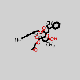 C#CC#CC#CCOC(=O)C(CC(CC)c1ccccc1)CC(C)(CC(C)C(=O)O)C(=O)OCC1CO1